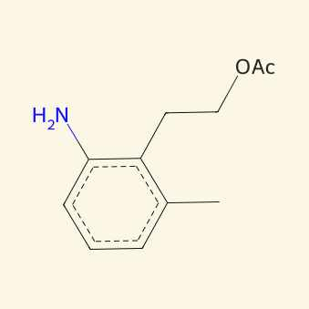 CC(=O)OCCc1c(C)cccc1N